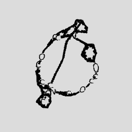 c1cc2c3cc1COCc1ccc4c(c1)c1cc5ccc1n4-c1ccc(cc1)OCCCOc1ccc(cc1)-n2c1ccc(cc31)COC5